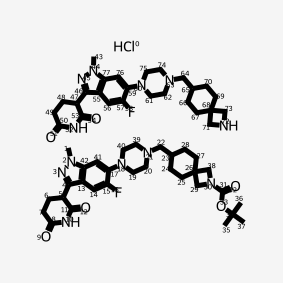 Cl.Cn1nc(C2CCC(=O)NC2=O)c2cc(F)c(N3CCN(CC4CCC5(CC4)CN(C(=O)OC(C)(C)C)C5)CC3)cc21.Cn1nc(C2CCC(=O)NC2=O)c2cc(F)c(N3CCN(CC4CCC5(CC4)CNC5)CC3)cc21